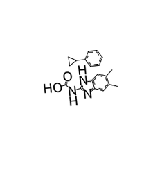 Cc1cc2nc(NC(=O)O)[nH]c2cc1C.c1ccc(C2CC2)cc1